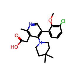 COc1c(Cl)cccc1-c1cnc(C)c(CC(=O)O)c1N1CCC(C)(C)CC1